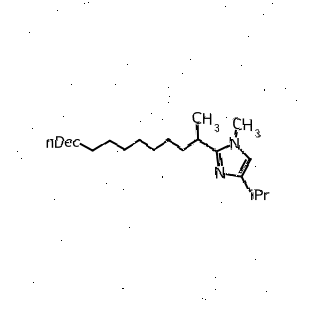 CCCCCCCCCCCCCCCCCC(C)c1nc(C(C)C)cn1C